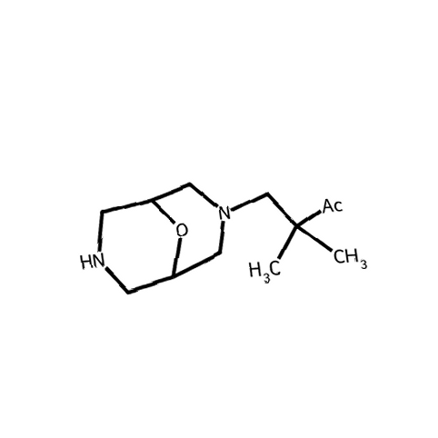 CC(=O)C(C)(C)CN1CC2CNCC(C1)O2